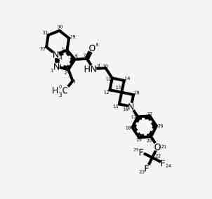 CCc1nn2c(c1C(=O)NCC1CC3(C1)CN(c1ccc(OC(F)(F)F)cc1)C3)CCCC2